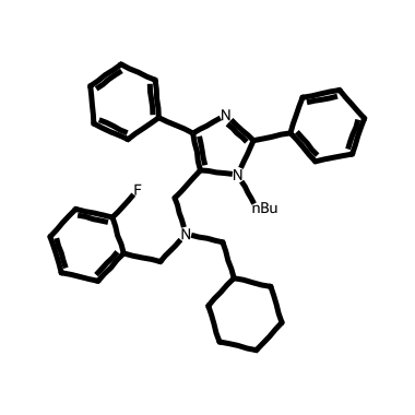 CCCCn1c(-c2ccccc2)nc(-c2ccccc2)c1CN(Cc1ccccc1F)CC1CCCCC1